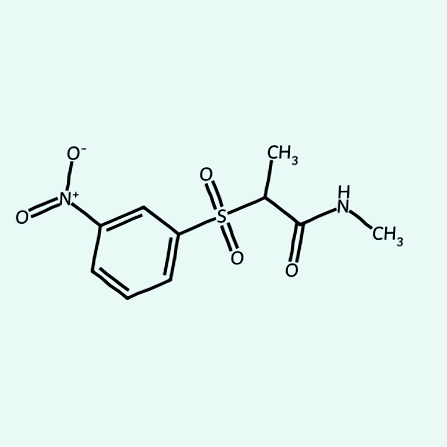 CNC(=O)C(C)S(=O)(=O)c1cccc([N+](=O)[O-])c1